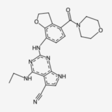 CCNc1nc(Nc2ccc(C(=O)N3CCOCC3)c3c2OCC3)nc2[nH]cc(C#N)c12